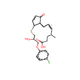 CC(/C=C\CC1C(=O)C=CC1SCC(O)COc1ccc(F)cc1)CCC(=O)O